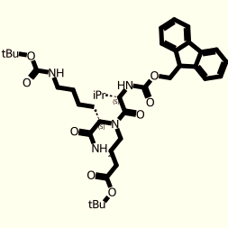 CC(C)[C@H](NC(=O)OCC1c2ccccc2-c2ccccc21)C(=O)N(CCCC(=O)OC(C)(C)C)[C@@H](CCCCNC(=O)OC(C)(C)C)C(N)=O